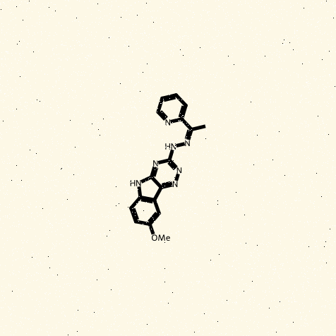 COc1ccc2[nH]c3nc(NN=C(C)c4ccccn4)nnc3c2c1